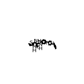 CC#CCN1CCN(c2ccc3nc(-c4c(N)c5sccc5[nH]c4=O)[nH]c3c2)CC1